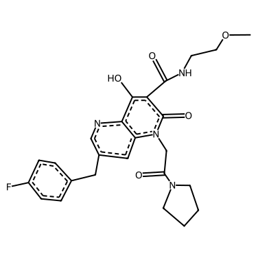 COCCNC(=O)c1c(O)c2ncc(Cc3ccc(F)cc3)cc2n(CC(=O)N2CCCC2)c1=O